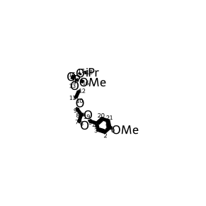 COc1ccc(C2OCC(COCCOP(=O)(OC)OC(C)C)O2)cc1